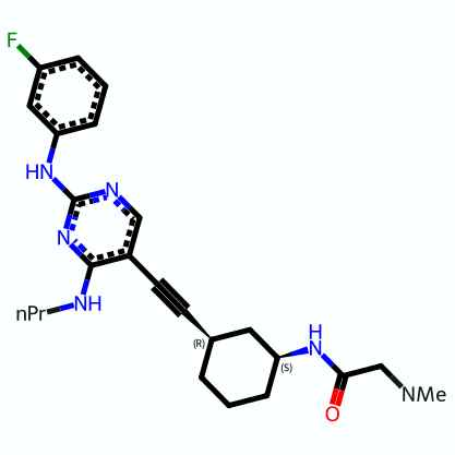 CCCNc1nc(Nc2cccc(F)c2)ncc1C#C[C@@H]1CCC[C@H](NC(=O)CNC)C1